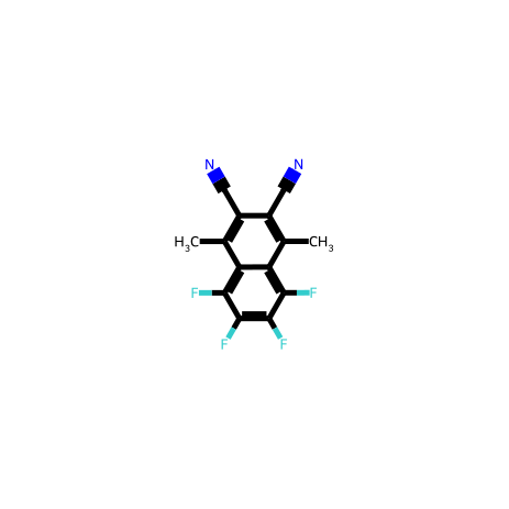 Cc1c(C#N)c(C#N)c(C)c2c(F)c(F)c(F)c(F)c12